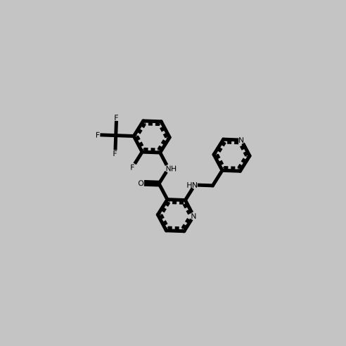 O=C(Nc1cccc(C(F)(F)F)c1F)c1cccnc1NCc1ccncc1